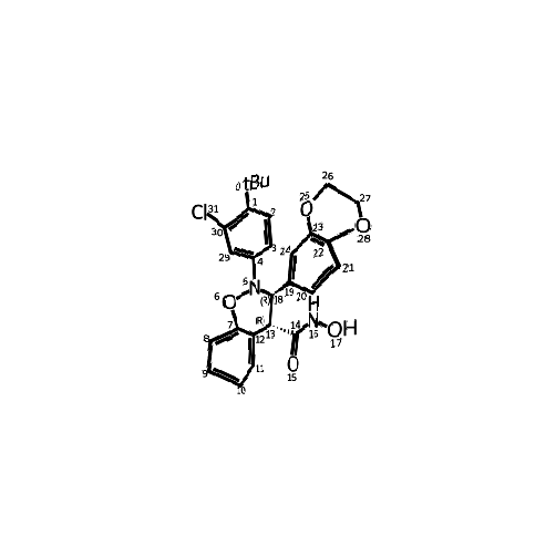 CC(C)(C)c1ccc(N2Oc3ccccc3[C@@H](C(=O)NO)[C@@H]2c2ccc3c(c2)OCCO3)cc1Cl